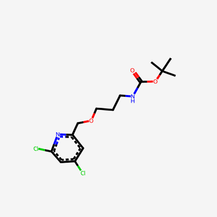 CC(C)(C)OC(=O)NCCCOCc1cc(Cl)cc(Cl)n1